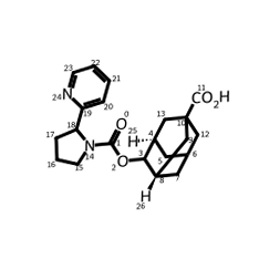 O=C(OC1[C@@H]2CC3C[C@H]1CC(C(=O)O)(C3)C2)N1CCCC1c1ccccn1